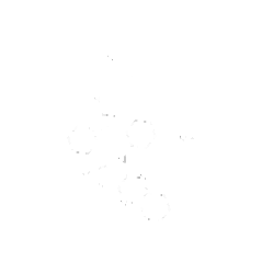 CCN1CCCC(NC(=O)c2cccc(S(=O)(=O)Nc3nc4ccccc4nc3Nc3cc(OC)ccc3Cl)c2)C1